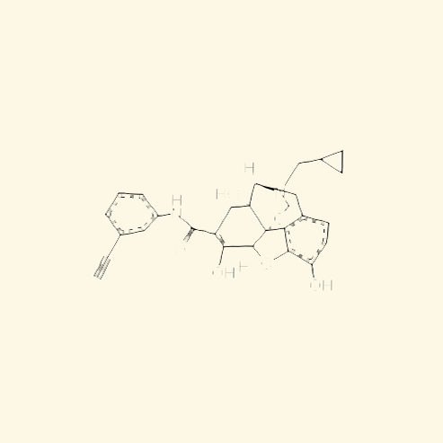 C#Cc1cccc(NC(=O)C2=C(O)[C@@H]3Oc4c(O)ccc5c4[C@@]34CCN(CC3CC3)[C@H](C5)[C@]4(O)C2)c1